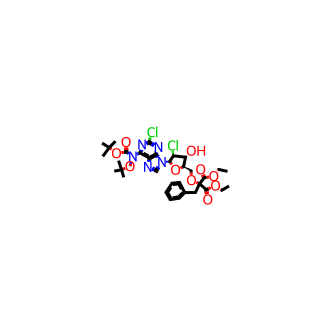 CCOC(=O)C(Cc1ccccc1)(OC[C@H]1O[C@@H](n2cnc3c(N(OC(C)(C)C)C(=O)OC(C)(C)C)nc(Cl)nc32)[C@@H](Cl)[C@@H]1O)C(=O)OCC